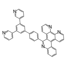 c1cncc(-c2cc(-c3ccc(-c4nc5ccccc5c5c6cccnc6c6ncccc6c45)cc3)cc(-c3cccnc3)c2)c1